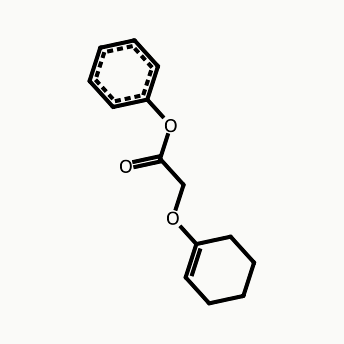 O=C(COC1=CCCCC1)Oc1ccccc1